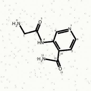 NCC(=O)Nc1cnccc1C(N)=O